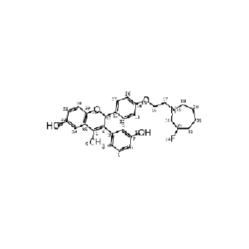 CC1=C(c2cccc(O)c2)C(c2ccc(OCCN3CCCCC(F)C3)cc2)Oc2ccc(O)cc21